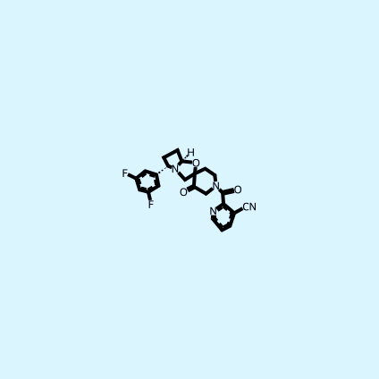 N#Cc1cccnc1C(=O)N1CCC2(CN3[C@@H](CC[C@H]3c3cc(F)cc(F)c3)O2)C(=O)C1